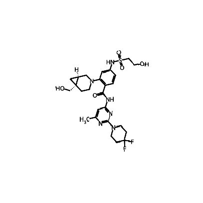 Cc1cc(NC(=O)c2ccc(NS(=O)(=O)CCO)cc2N2CC[C@@]3(CO)C[C@H]3C2)nc(N2CCC(F)(F)CC2)n1